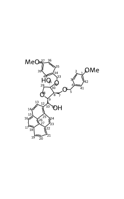 COc1ccc(COC[C@H]2[C@@H](C(O)c3ccc4ccc5cccc6ccc3c4c56)OC[C@@]2(O)OCc2ccc(OC)cc2)cc1